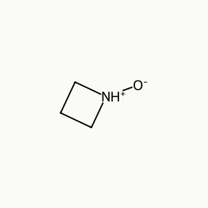 [O-][NH+]1CCC1